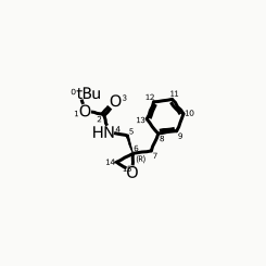 CC(C)(C)OC(=O)NC[C@]1(Cc2ccccc2)CO1